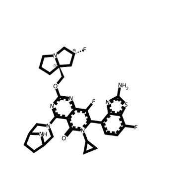 Nc1nc2c(-c3c(F)c4nc(OC[C@@]56CCCN5C[C@H](F)C6)nc(N5CC6CCC(C5)N6)c4c(=O)n3C3CC3)ccc(F)c2s1